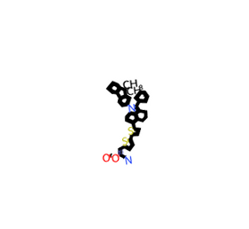 CC1(C)c2ccccc2-c2ccc(-n3c(-c4ccccc4)c4c5c(c(-c6ccc(-c7ccc(/C=C(\C#N)OC=O)s7)s6)ccc53)CCC4)cc21